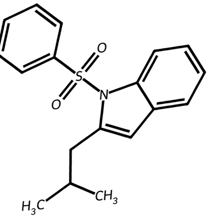 CC(C)Cc1cc2ccccc2n1S(=O)(=O)c1ccccc1